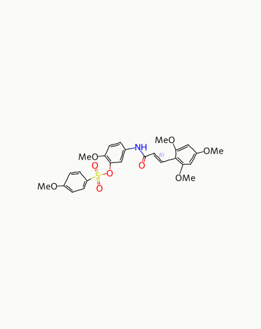 COc1ccc(S(=O)(=O)Oc2cc(NC(=O)/C=C/c3c(OC)cc(OC)cc3OC)ccc2OC)cc1